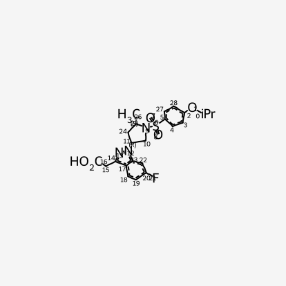 CC(C)Oc1ccc(S(=O)(=O)N2C[C@H](n3nc(CC(=O)O)c4ccc(F)cc43)C[C@@H]2C)cc1